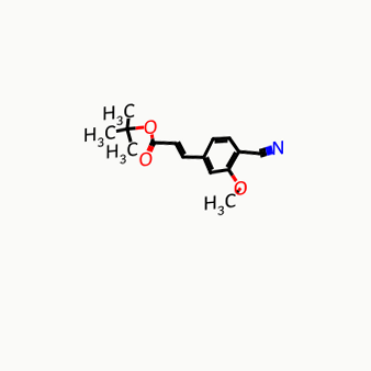 COc1cc(/C=C/C(=O)OC(C)(C)C)ccc1C#N